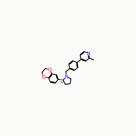 Cc1cc(-c2ccc(CN3CCC[C@H]3c3ccc4c(c3)OCCO4)cc2)ccn1